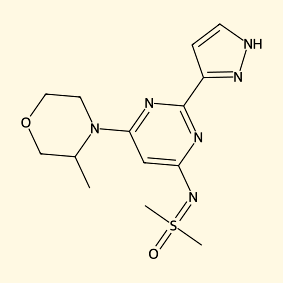 CC1COCCN1c1cc(N=S(C)(C)=O)nc(-c2cc[nH]n2)n1